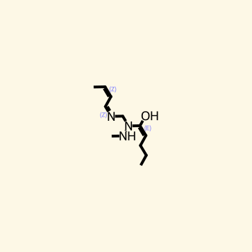 C/C=C\C=N/CN(NC)/C(O)=C\CCC